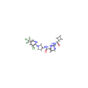 O=C(N[C@@H]1CCN(c2ncc(C(F)(F)F)cc2Cl)C1)c1ccnc(NC(=O)C2CCC2)n1